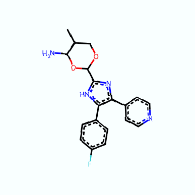 CC1COC(c2nc(-c3ccncc3)c(-c3ccc(F)cc3)[nH]2)OC1N